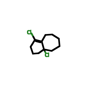 ClC1=C2CCCCCC2(Cl)CCC1